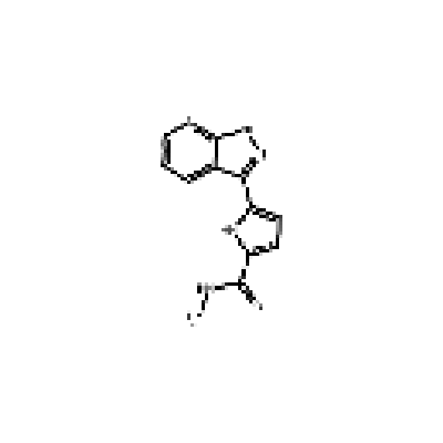 NNC(=O)c1ccc(-c2n[nH]c3ncccc23)[nH]1